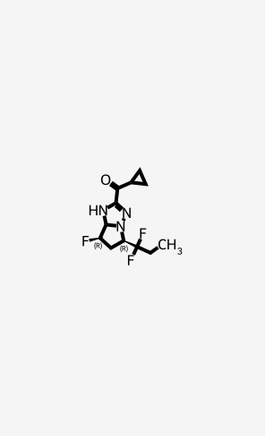 CCC(F)(F)[C@H]1C[C@@H](F)C2NC(C(=O)C3CC3)=NN21